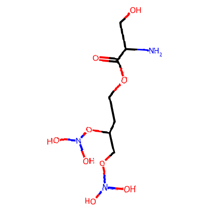 NC(CO)C(=O)OCCC(CON(O)O)ON(O)O